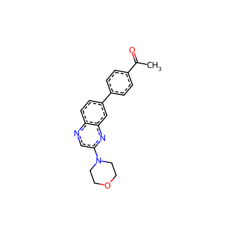 CC(=O)c1ccc(-c2ccc3ncc(N4CCOCC4)nc3c2)cc1